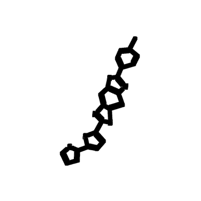 Cc1ccc(-c2nc3cc4sc(-c5ccc(-c6cccs6)s5)nc4cc3s2)cc1